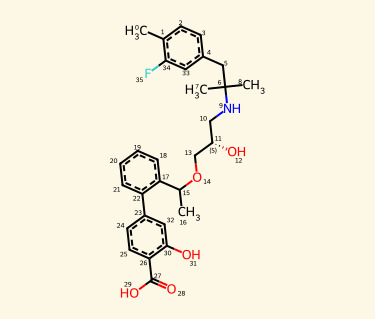 Cc1ccc(CC(C)(C)NC[C@H](O)COC(C)c2ccccc2-c2ccc(C(=O)O)c(O)c2)cc1F